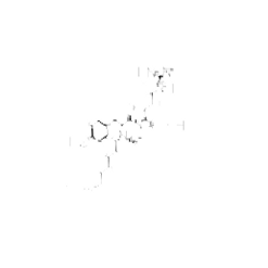 CCCCCCCCCCCCCCCCN(C(C)=O)C(Cc1ccc(O)cc1)C(=O)NC(CCCNC(=N)N)C(=O)O